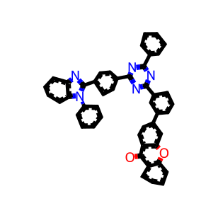 O=c1c2ccccc2oc2cc(-c3cccc(-c4nc(-c5ccccc5)nc(-c5ccc(-c6nc7ccccc7n6-c6ccccc6)cc5)n4)c3)ccc12